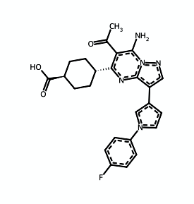 CC(=O)c1c(N)n2ncc(-c3ccn(-c4ccc(F)cc4)c3)c2nc1[C@H]1CC[C@H](C(=O)O)CC1